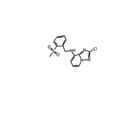 CS(=O)(=O)c1ccccc1CNc1cccn2nc(Cl)nc12